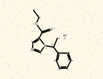 CCOC(=O)c1cncn1C(C)c1ccccc1.[H+]